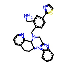 NCc1cc(-c2nccs2)ccc1CN(Cc1nc2ccccc2[nH]1)C1CCCc2cccnc21